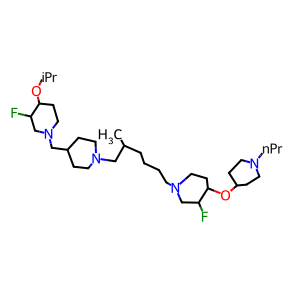 CCCN1CCC(OC2CCN(CCCCC(C)CN3CCC(CN4CCC(OC(C)C)C(F)C4)CC3)CC2F)CC1